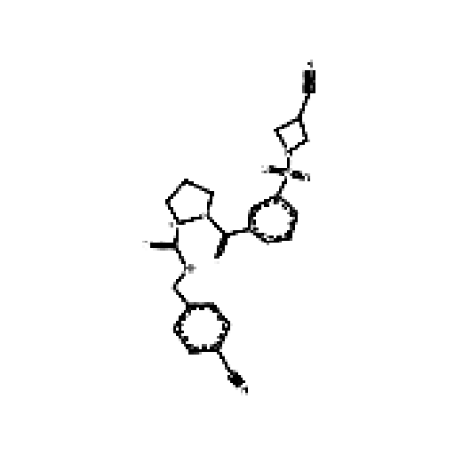 N#Cc1ccc(CNC(=O)[C@H]2CCCN2C(=O)c2cccc(S(=O)(=O)N3CC(C#N)C3)c2)cc1